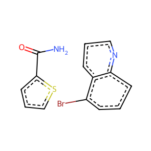 Brc1cccc2ncccc12.NC(=O)c1cccs1